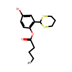 CC(C)CCCC(=O)Oc1ccc(Br)cc1C1SCCCS1